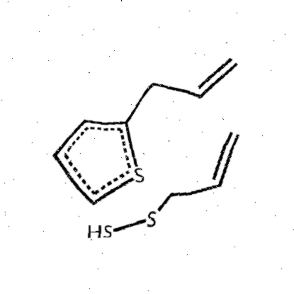 C=CCSS.C=CCc1cccs1